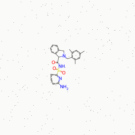 Cc1cc(C)c(CN2Cc3ccccc3C2C(=O)NS(=O)(=O)c2cccc(N)n2)c(C)c1